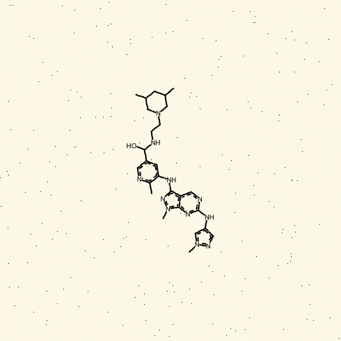 Cc1ncc(C(O)NCCN2CC(C)CC(C)C2)cc1Nc1nn(C)c2nc(Nc3cnn(C)c3)ncc12